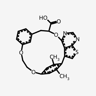 Cc1cc2cc(C)c1-c1csc3ncnc(c13)OC(C(=O)O)Cc1cccc(c1)OCCO2